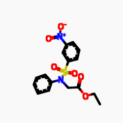 CCOC(=O)CN(c1ccccc1)S(=O)(=O)c1cccc([N+](=O)[O-])c1